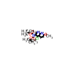 COc1ccc2c(Cl)c(N(C(=O)OC(C)(C)C)C(=O)OC(C)(C)C)cnc2n1